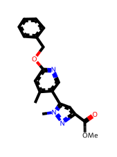 COC(=O)c1cc(-c2cnc(OCc3ccccc3)cc2C)n(C)n1